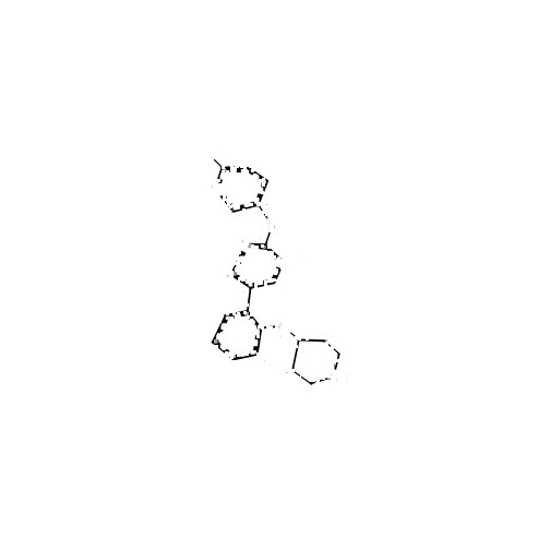 Cc1ccc(Nc2ncc(-c3ccccc3NC3CCNCC3)cn2)cn1